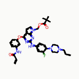 C=CC(=O)Nc1cccc(Oc2nc(Nc3ccc(N4CCN(CCC)CC4)c(F)c3)nc3c2ccn3COC(=O)C(C)(C)C)c1